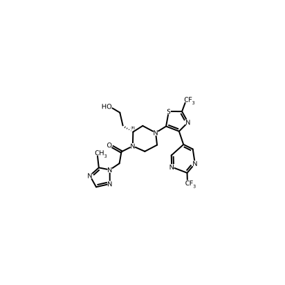 Cc1ncnn1CC(=O)N1CCN(c2sc(C(F)(F)F)nc2-c2cnc(C(F)(F)F)nc2)C[C@H]1CCO